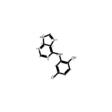 Oc1ccc(Cl)cc1Nc1ncnc2[nH]cnc12